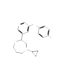 Clc1ccc(Oc2cncc(C3CN(C4CC4)CCC[N]3)c2)cc1